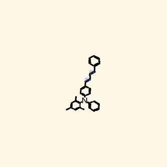 Cc1cc(C)c(N(c2ccccc2)c2ccc(/C=C/C=C/c3ccccc3)cc2)c(C)c1